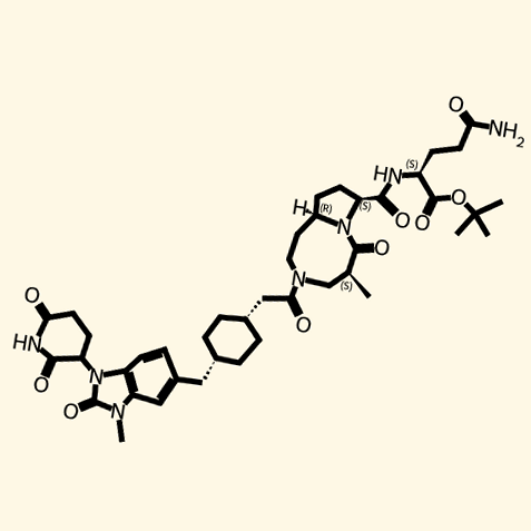 C[C@H]1CN(C(=O)C[C@H]2CC[C@@H](Cc3ccc4c(c3)n(C)c(=O)n4C3CCC(=O)NC3=O)CC2)CC[C@H]2CC[C@@H](C(=O)N[C@@H](CCC(N)=O)C(=O)OC(C)(C)C)N2C1=O